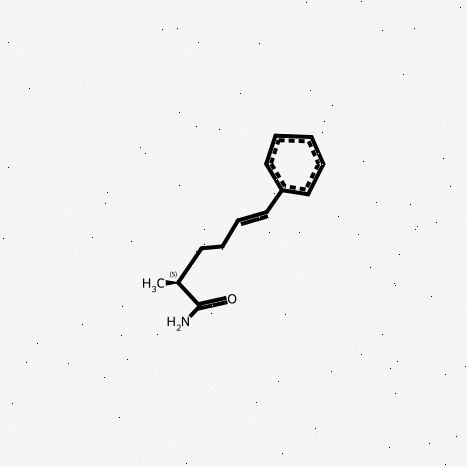 C[C@@H](C[CH]C=Cc1ccccc1)C(N)=O